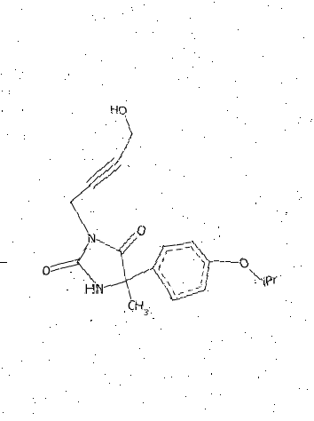 CC(C)Oc1ccc(C2(C)NC(=O)N(CC#CCO)C2=O)cc1